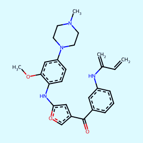 C=CC(=C)Nc1cccc(C(=O)c2coc(Nc3ccc(N4CCN(C)CC4)cc3OC)c2)c1